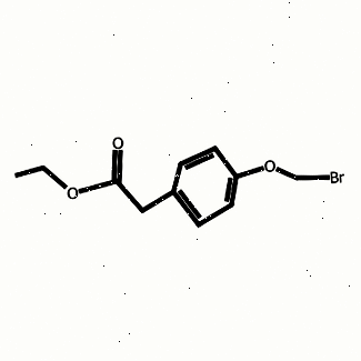 CCOC(=O)Cc1ccc(OCBr)cc1